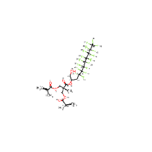 C=C(C)C(=O)OCC(C)(COC(=O)C(=C)C)C(=O)OC(CO)CC(F)(F)C(F)(F)C(F)(F)C(F)(F)C(F)(F)C(F)(F)C(F)(F)C(F)(F)F